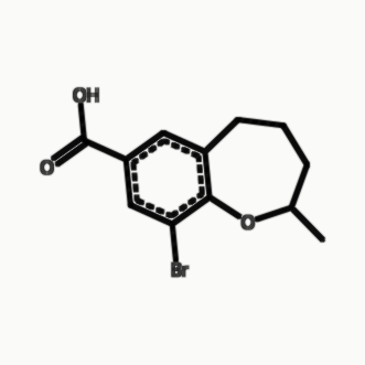 CC1CCCc2cc(C(=O)O)cc(Br)c2O1